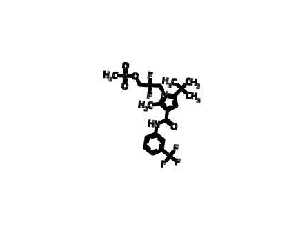 Cc1c(C(=O)Nc2cccc(C(F)(F)F)c2)cc(C(C)(C)C)n1CC(F)(F)COS(C)(=O)=O